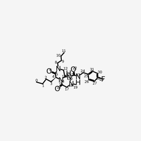 CCCC[C@H]1C(=O)N(CCCC)C[C@H]2N1C(=O)CN(C)N2C(=O)NCc1ccc(F)cc1